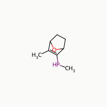 CPC1=C(C)C2CCC1O2